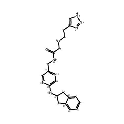 O=C(COCCc1c[nH]nn1)NCc1cnc(NC2Cc3ccccc3C2)cn1